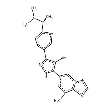 Cc1cc(-c2[nH]nc(-c3ccc([C@H](C)N(C)C)cc3)c2C(C)C)cn2ncnc12